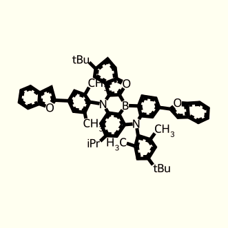 Cc1cc(C(C)(C)C)cc(C)c1N1c2cc(-c3cc4ccccc4o3)ccc2B2c3oc4ccc(C(C)(C)C)cc4c3N(c3c(C)cc(-c4cc5ccccc5o4)cc3C)c3cc(C(C)C)cc1c32